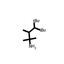 CCC(C)C(C(C)C(C)(C)N)C(C)(C)C